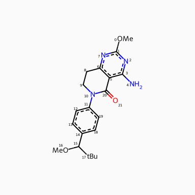 COc1nc(N)c2c(n1)CCN(c1ccc(C(OC)C(C)(C)C)cc1)C2=O